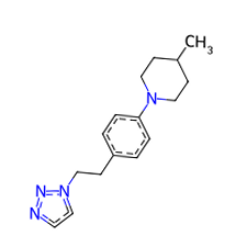 CC1CCN(c2ccc(CCn3ccnn3)cc2)CC1